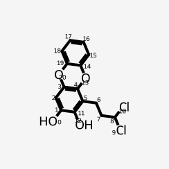 Oc1cc2c(c(CCC(Cl)Cl)c1O)Oc1ccccc1O2